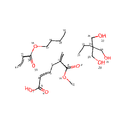 C=C(CC=CC(=O)O)C(=O)OC.C=CC(=O)OCCCC.CCC(CO)(CO)CO